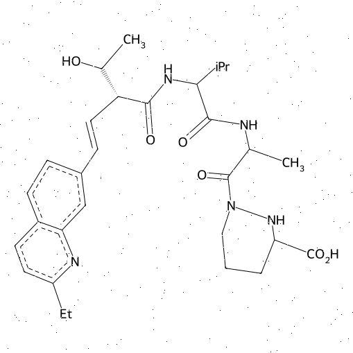 CCc1ccc2ccc(/C=C/[C@@H](C(=O)NC(C(=O)NC(C)C(=O)N3CCCC(C(=O)O)N3)C(C)C)C(C)O)cc2n1